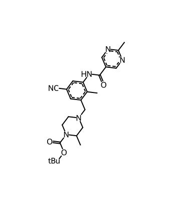 Cc1ncc(C(=O)Nc2cc(C#N)cc(CN3CCN(C(=O)OC(C)(C)C)C(C)C3)c2C)cn1